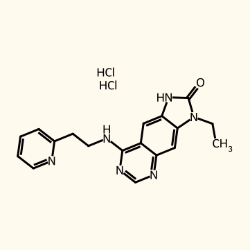 CCn1c(=O)[nH]c2cc3c(NCCc4ccccn4)ncnc3cc21.Cl.Cl